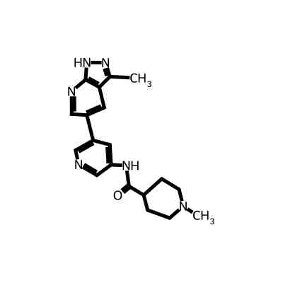 Cc1n[nH]c2ncc(-c3cncc(NC(=O)C4CCN(C)CC4)c3)cc12